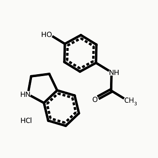 CC(=O)Nc1ccc(O)cc1.Cl.c1ccc2c(c1)CCN2